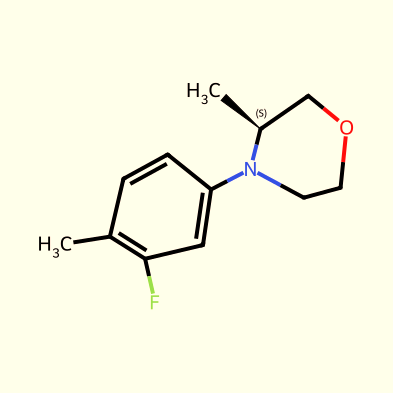 Cc1ccc(N2CCOC[C@@H]2C)cc1F